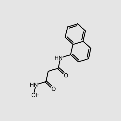 O=C(CC(=O)Nc1cccc2ccccc12)NO